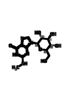 CNc1nc2c(ncn2[C@@H]2O[C@H](CO)[C@@H](O)[C@H](O)[C@H]2O)c(=O)[nH]1